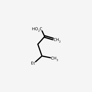 C=C(CC(C)CC)C(=O)O